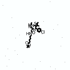 Cc1sc2c(c1C)C(c1ccc(Cl)cc1)=N[C@@H](CC(=O)NCCCCCC(=O)OC(C)(C)C)c1nnc(C)n1-2